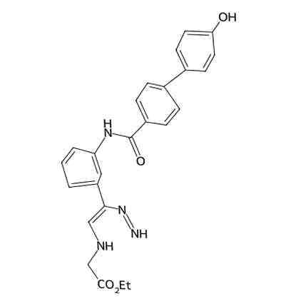 CCOC(=O)CN/C=C(\N=N)c1cccc(NC(=O)c2ccc(-c3ccc(O)cc3)cc2)c1